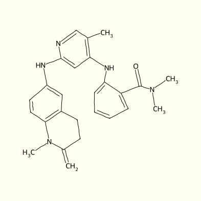 C=C1CCc2cc(Nc3cc(Nc4ccccc4C(=O)N(C)C)c(C)cn3)ccc2N1C